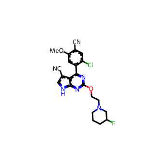 COc1cc(-c2nc(OCCN3CCCC(F)C3)nc3[nH]cc(C#N)c23)c(Cl)cc1C#N